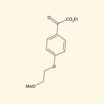 CCOC(=O)C(=O)c1ccc(OCCOC)cc1